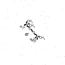 CC[N+](CC)(CC)CCOCCOCC[N+](CC)(CC)CC.[Cl-].[Cl-]